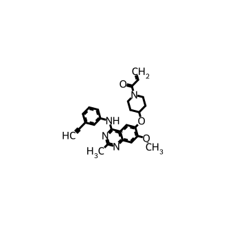 C#Cc1cccc(Nc2nc(C)nc3cc(OC)c(OC4CCN(C(=O)C=C)CC4)cc23)c1